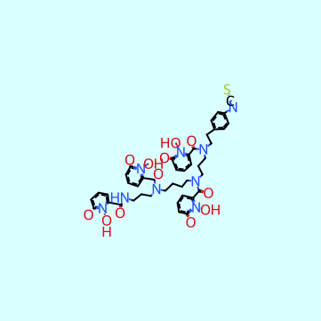 O=C(NCCCN(CCCCN(CCCN(CCc1ccc(N=C=S)cc1)C(=O)c1cccc(=O)n1O)C(=O)c1cccc(=O)n1O)C(=O)c1cccc(=O)n1O)c1cccc(=O)n1O